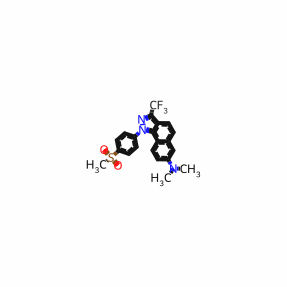 CN(C)c1ccc2c(ccc3c(C(F)(F)F)nn(-c4ccc(S(C)(=O)=O)cc4)c32)c1